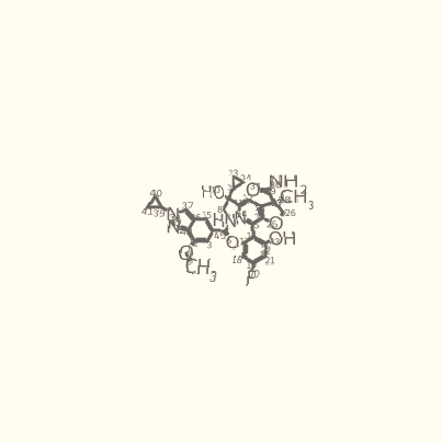 COc1cc(C(=O)NC[C@@](O)(c2cc3c(c(-c4ccc(F)cc4O)n2)OC[C@]3(C)C(N)=O)C2CC2)cc2cn(C3CC3)nc12